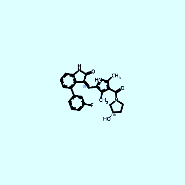 Cc1[nH]c(/C=C2\C(=O)Nc3cccc(-c4cccc(F)c4)c32)c(C)c1C(=O)N1CC[C@H](O)C1